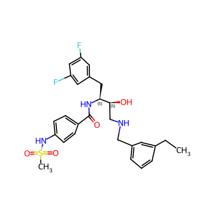 CCc1cccc(CNC[C@H](O)[C@H](Cc2cc(F)cc(F)c2)NC(=O)c2ccc(NS(C)(=O)=O)cc2)c1